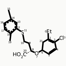 CCC1=C(Cl)C=CC(O[C@@H](CCSc2cc(C)ccc2C)C(=O)O)C1